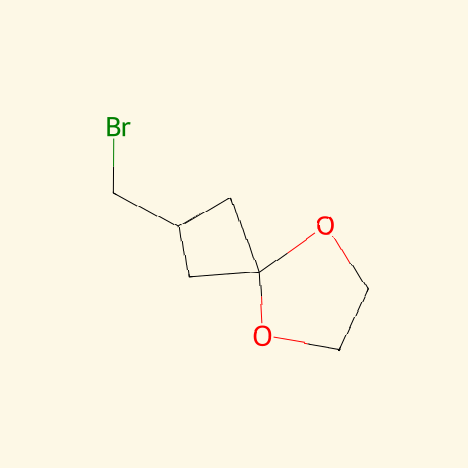 BrCC1CC2(C1)OCCO2